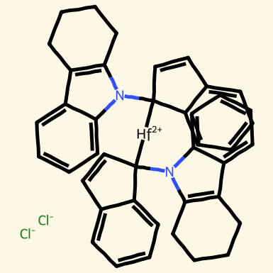 C1=C[C]([Hf+2][C]2(n3c4c(c5ccccc53)CCCC4)C=Cc3ccccc32)(n2c3c(c4ccccc42)CCCC3)c2ccccc21.[Cl-].[Cl-]